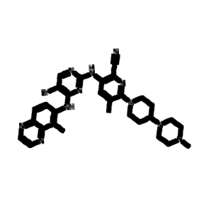 Cc1cc(Nc2ncc(Br)c(Nc3ccc4nccnc4c3C)n2)c(C#N)nc1N1CCC(N2CCN(C)CC2)CC1